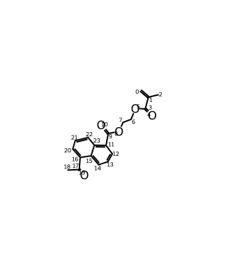 C=C(C)C(=O)OCCOC(=O)c1cccc2c(C(C)=O)cccc12